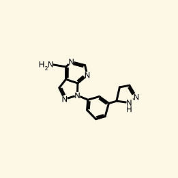 Nc1ncnc2c1cnn2-c1cccc(C2CC=NN2)c1